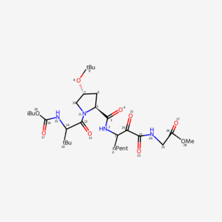 CCCCCC(NC(=O)[C@@H]1C[C@@H](OC(C)(C)C)CN1C(=O)C(NC(=O)OCC(C)C)C(C)(C)C)C(=O)C(=O)NCC(=O)OC